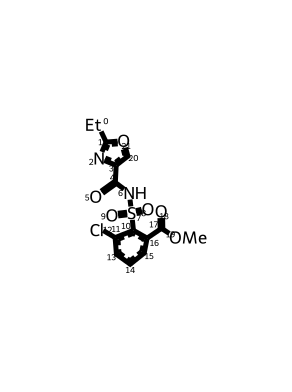 CCc1nc(C(=O)NS(=O)(=O)c2c(Cl)cccc2C(=O)OC)co1